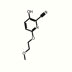 COCCOc1ccc(O)c(C#N)n1